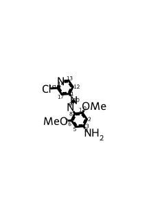 COc1cc(N)cc(OC)c1/N=N/c1ccnc(Cl)c1